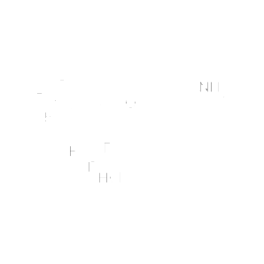 Cl.NCCC(COCc1cc(C(F)(F)F)cc(C(F)(F)F)c1)c1ccccc1